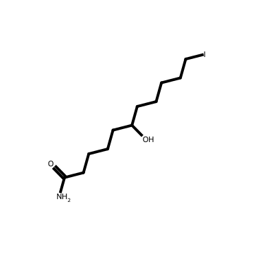 NC(=O)CCCCC(O)CCCCCI